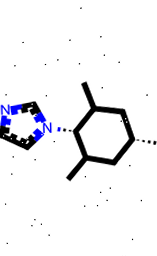 CC1C[C@H](C)CC(C)[C@@H]1n1ccnc1